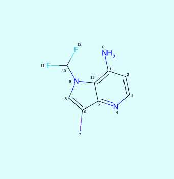 Nc1ccnc2c(I)cn(C(F)F)c12